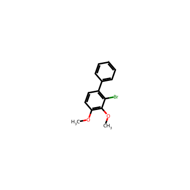 COc1ccc(-c2cc[c]cc2)c(Br)c1OC